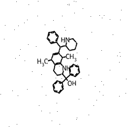 CC1C=C(C(c2ccccc2)C2CCCCN2)C(C)C2=C1CCC(C(O)(c1ccccc1)c1ccccc1)N2